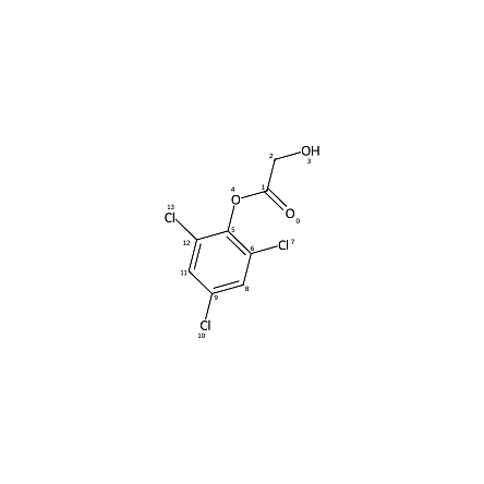 O=C(CO)Oc1c(Cl)cc(Cl)cc1Cl